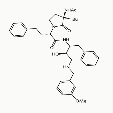 CC[C@H](C)[C@@]1(NC(C)=O)CCN([C@@H](CCc2ccccc2)C(=O)N[C@@H](Cc2ccccc2)[C@H](O)CNCc2cccc(OC)c2)C1=O